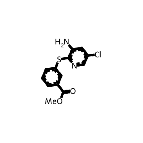 COC(=O)c1cccc(Sc2ncc(Cl)cc2N)c1